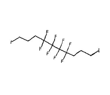 FC(F)(CCCI)C(F)(F)C(F)(F)C(F)(F)CCCI